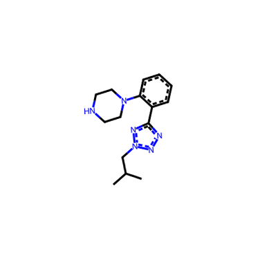 CC(C)Cn1nnc(-c2ccccc2N2CCNCC2)n1